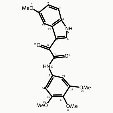 COc1ccc2[nH]cc(C(=O)C(=O)Nc3cc(OC)c(OC)c(OC)c3)c2c1